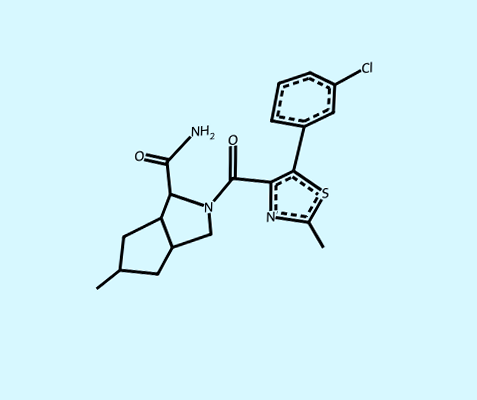 Cc1nc(C(=O)N2CC3CC(C)CC3C2C(N)=O)c(-c2cccc(Cl)c2)s1